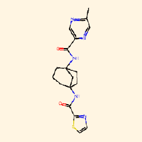 Cc1cnc(C(=O)NC23CCCC(NC(=O)c4nccs4)(CC2)C3)cn1